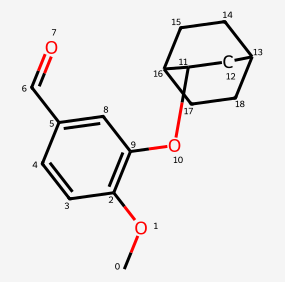 COc1ccc(C=O)cc1OC1CC2CCC1CC2